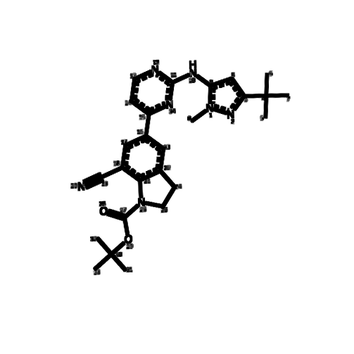 Cn1nc(C(C)(C)C)cc1Nc1nccc(-c2cc(C#N)c3c(c2)CCN3C(=O)OC(C)(C)C)n1